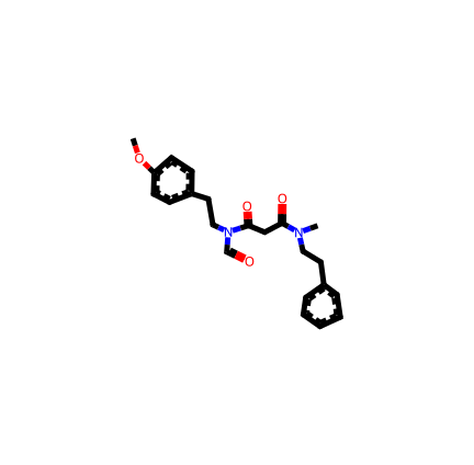 COc1ccc(CCN(C=O)C(=O)CC(=O)N(C)CCc2ccccc2)cc1